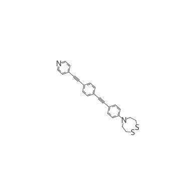 C(#Cc1ccc(C#Cc2ccc(N3CCSSCC3)cc2)cc1)c1ccncc1